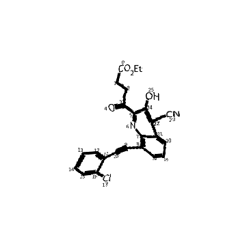 CCOC(=O)CCC(=O)c1nc2c(C#Cc3ccccc3Cl)cccc2c(C#N)c1O